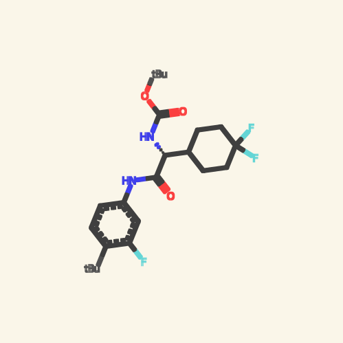 CC(C)(C)OC(=O)N[C@@H](C(=O)Nc1ccc(C(C)(C)C)c(F)c1)C1CCC(F)(F)CC1